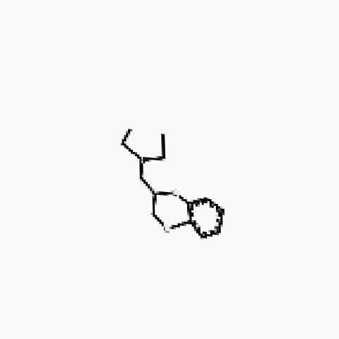 CCN(CC)CC1COc2cc[c]cc2O1